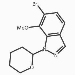 COc1c(Br)ccc2cnn(C3CCCCO3)c12